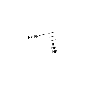 CC.CC.CC.CC.F.F.F.F.F